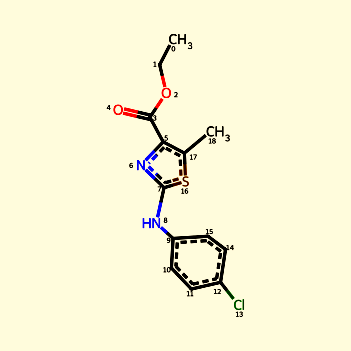 CCOC(=O)c1nc(Nc2ccc(Cl)cc2)sc1C